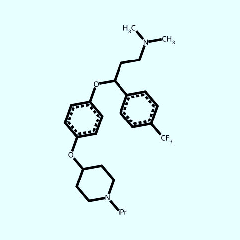 CC(C)N1CCC(Oc2ccc(OC(CCN(C)C)c3ccc(C(F)(F)F)cc3)cc2)CC1